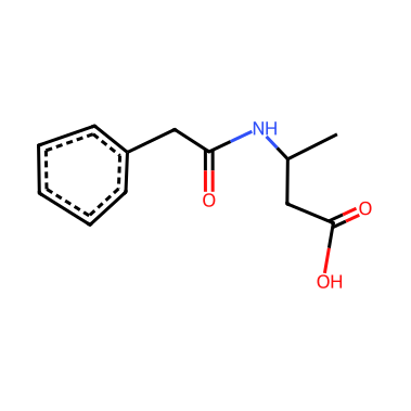 CC(CC(=O)O)NC(=O)Cc1ccccc1